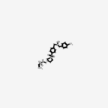 C=CS(=O)(=O)NC[C@H]1CCN(S(=O)(=O)c2ccc(CN(CC)Cc3ccc(C(F)(F)F)cc3)cc2)C1